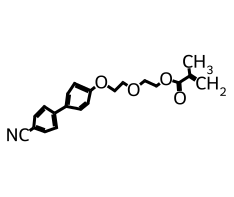 C=C(C)C(=O)OCCOCCOc1ccc(-c2ccc(C#N)cc2)cc1